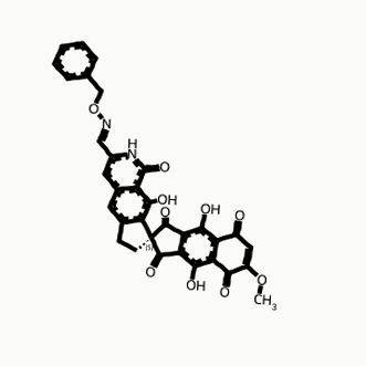 COC1=CC(=O)c2c(O)c3c(c(O)c2C1=O)C(=O)[C@]1(CCc2cc4cc(C=NOCc5ccccc5)[nH]c(=O)c4c(O)c21)C3=O